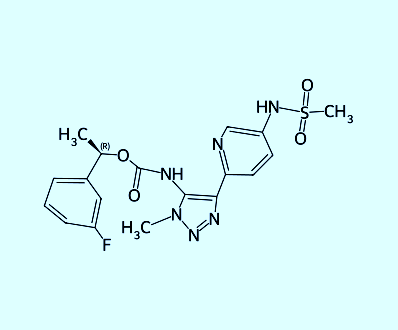 C[C@@H](OC(=O)Nc1c(-c2ccc(NS(C)(=O)=O)cn2)nnn1C)c1cccc(F)c1